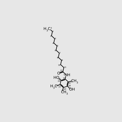 CCCCCCCCCCCCC(=O)Nc1c(C)c(O)c(C)c(C)c1O